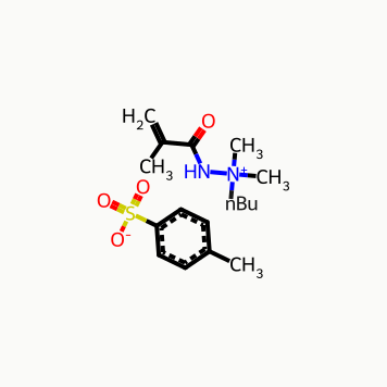 C=C(C)C(=O)N[N+](C)(C)CCCC.Cc1ccc(S(=O)(=O)[O-])cc1